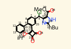 CCCCc1nc(C(Cl)c2ccc(-c3ccccc3)c(-c3c(OC(C)C)c(=O)c3=O)c2)c(C(=O)OC)[nH]1